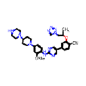 COc1cc(N2CCC(N3CCNCC3)CC2)ccc1Nc1ncc(-c2ccc(C#N)c(OC(C)Cn3cnnn3)c2)cn1